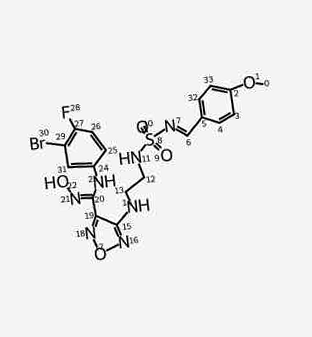 COc1ccc(/C=N/S(=O)(=O)NCCNc2nonc2/C(=N/O)Nc2ccc(F)c(Br)c2)cc1